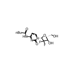 CCCCC(=O)Nc1ccn([C@@H]2O[C@H](CO)C(O)C2(F)F)c(=O)n1